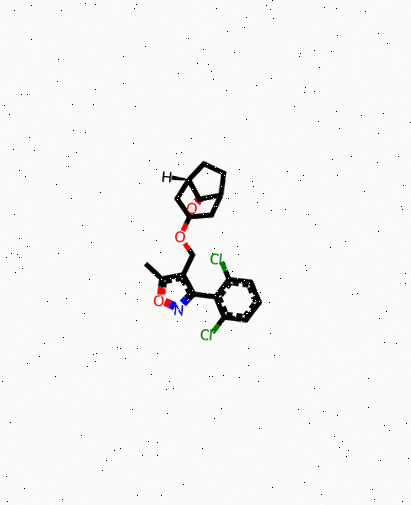 Cc1onc(-c2c(Cl)cccc2Cl)c1COC1CC2CC[C@@H](C1)C2=O